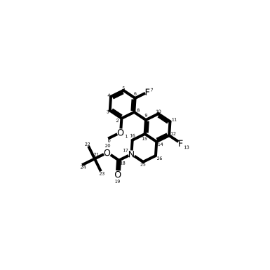 COc1cccc(F)c1-c1ccc(F)c2c1CN(C(=O)OC(C)(C)C)CC2